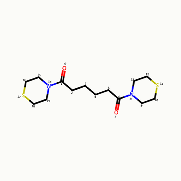 O=C(CCCCC(=O)N1CCSCC1)N1CCSCC1